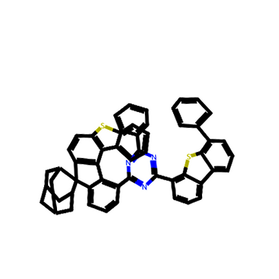 c1ccc(-c2nc(-c3cccc4c3-c3c(ccc5sc6ccccc6c35)C43C4CC5CC(C4)CC3C5)nc(-c3cccc4c3sc3c(-c5ccccc5)cccc34)n2)cc1